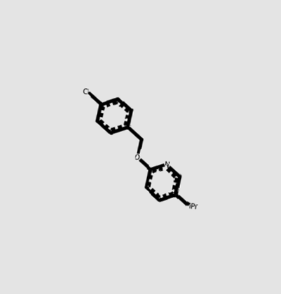 CC(C)c1ccc(OCc2ccc(Cl)cc2)nc1